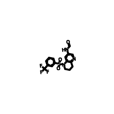 O=CNc1cnc2c(c1)N(S(=O)(=O)c1cccc(C(F)(F)F)c1)CCC2